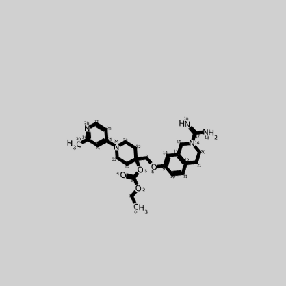 CCOC(=O)OC1(COc2ccc3c(c2)CN(C(=N)N)CC3)CCN(c2ccnc(C)c2)CC1